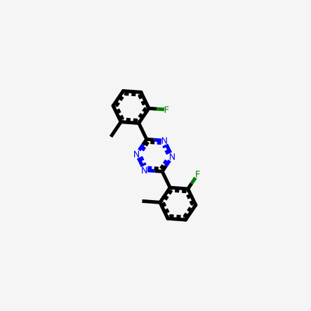 Cc1cccc(F)c1-c1nnc(-c2c(C)cccc2F)nn1